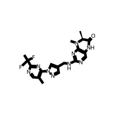 Cc1cnc(C(C)(F)F)nc1-n1cc(CNc2ncc3c(n2)N(C)[C@@H](C)C(=O)N3)cn1